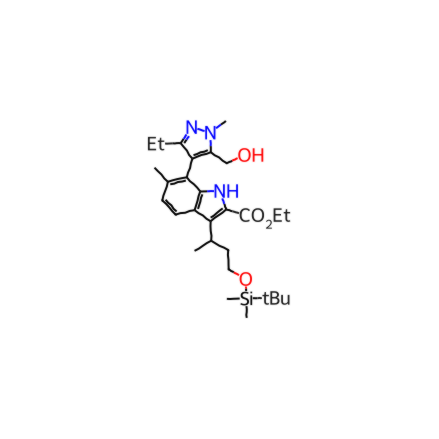 CCOC(=O)c1[nH]c2c(-c3c(CC)nn(C)c3CO)c(C)ccc2c1C(C)CCO[Si](C)(C)C(C)(C)C